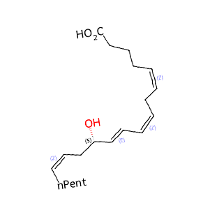 CCCCC/C=C\C[C@H](O)/C=C/C=C\C/C=C\CCCC(=O)O